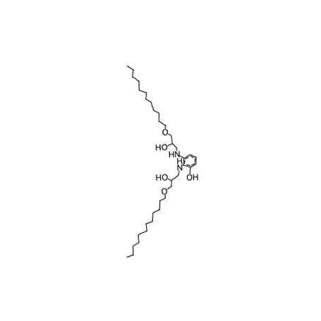 CCCCCCCCCCCCOCC(O)CNc1cccc(O)c1NCC(O)COCCCCCCCCCCCC